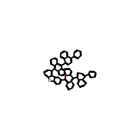 c1ccc(-c2ccc(-c3c4ccccc4c(-c4ccc5oc6cccc(-c7c8ccccc8c(-c8ccc(-c9ccccc9)c9ccccc89)c8ccccc78)c6c5c4)c4ccccc34)c3ccccc23)cc1